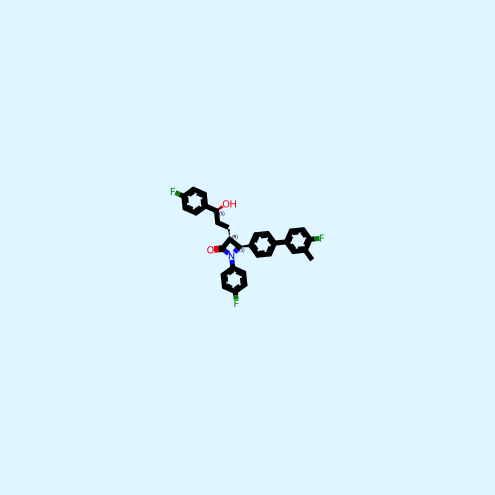 Cc1cc(-c2ccc([C@@H]3[C@@H](CC[C@H](O)c4ccc(F)cc4)C(=O)N3c3ccc(F)cc3)cc2)ccc1F